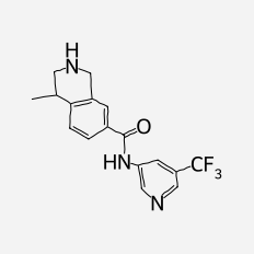 CC1CNCc2cc(C(=O)Nc3cncc(C(F)(F)F)c3)ccc21